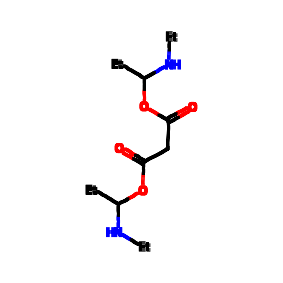 CCNC(CC)OC(=O)CC(=O)OC(CC)NCC